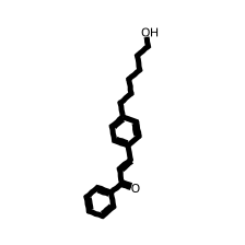 O=C(C=Cc1ccc(CCCCCCO)cc1)c1ccccc1